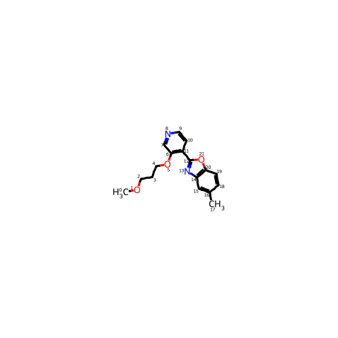 COCCCOc1cnccc1-c1nc2cc(C)ccc2o1